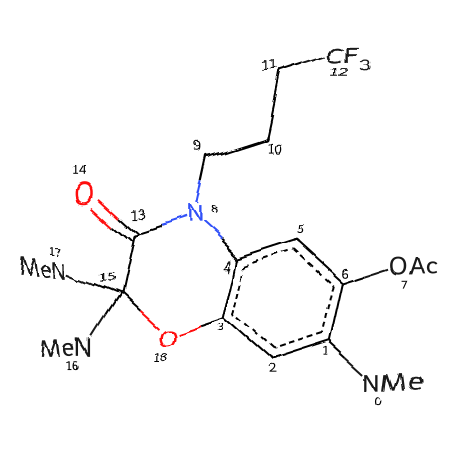 CNc1cc2c(cc1OC(C)=O)N(CCCC(F)(F)F)C(=O)C(NC)(NC)O2